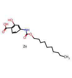 CCCCCCCCCCOC(=O)Nc1ccc(C(=O)O)c(O)c1.[Zn]